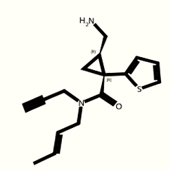 C#CCN(CC=CC)C(=O)[C@@]1(c2cccs2)C[C@H]1CN